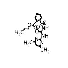 C=CCOC(=O)c1ccccc1S(=O)(=O)NC(=O)Nc1nc(C)cc(C)n1